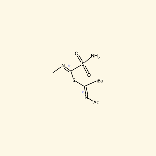 CCC(C)/C(=N\C(C)=O)S/C(=N\C)S(N)(=O)=O